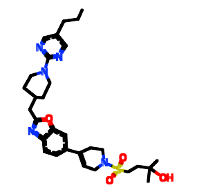 CCCc1cnc(N2CCC(Cc3nc4ccc(C5=CCN(S(=O)(=O)CCC(C)(C)O)CC5)cc4o3)CC2)nc1